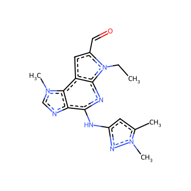 CCn1c(C=O)cc2c3c(ncn3C)c(Nc3cc(C)n(C)n3)nc21